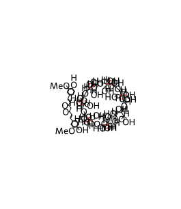 COc1cc(/C=C/C(=O)CC(=O)/C=C/c2ccc(O)c(OC)c2)ccc1O.OC[C@H]1O[C@@H]2O[C@H]3[C@H](O)[C@@H](O)[C@@H](O[C@H]4[C@H](O)[C@@H](O)[C@@H](O[C@H]5[C@H](O)[C@@H](O)[C@@H](O[C@H]6[C@H](O)[C@@H](O)[C@@H](O[C@H]7[C@H](O)[C@@H](O)[C@@H](O[C@H]8[C@H](O)[C@@H](O)[C@@H](O[C@H]1[C@H](O)[C@H]2O)O[C@@H]8CO)O[C@@H]7CO)O[C@@H]6CO)O[C@@H]5CO)O[C@@H]4CO)O[C@@H]3CO